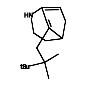 CC(C)(C)C(C)(C)CC1=CC2=CCC1CCN2